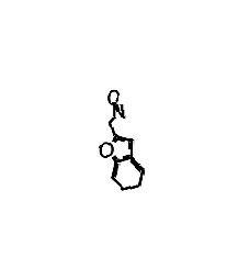 O=NCc1cc2c(o1)=CCCC=2